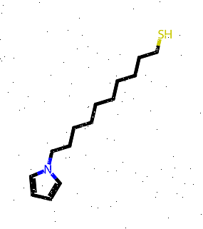 SCCCCCCCCCCn1cccc1